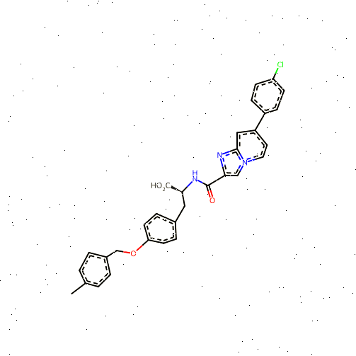 Cc1ccc(COc2ccc(C[C@H](NC(=O)c3cn4ccc(-c5ccc(Cl)cc5)cc4n3)C(=O)O)cc2)cc1